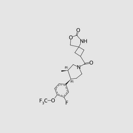 C[C@H]1CN(C(=O)C2CC3(COC(=O)N3)C2)CC[C@H]1c1ccc(OC(F)(F)F)c(F)c1